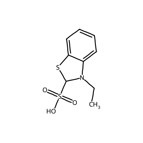 CCN1c2ccccc2SC1S(=O)(=O)O